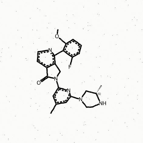 COc1cccc(F)c1-c1nccc2c1CN(c1cc(C)cc(N3CCN[C@@H](C)C3)n1)C2=O